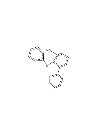 Oc1cccc(-c2ccccc2)c1Oc1ccccc1